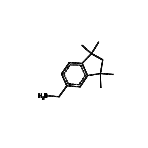 BCc1ccc2c(c1)C(C)(C)CC2(C)C